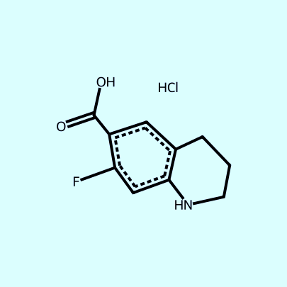 Cl.O=C(O)c1cc2c(cc1F)NCCC2